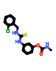 CNC(=O)Oc1cccc(NC(=S)NCc2ccccc2Cl)c1